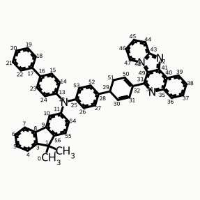 CC1(C)c2ccccc2-c2cc(N(c3ccc(-c4ccccc4)cc3)c3ccc(C4C=CC(c5nc6ccccc6c6nc7ccccn7c56)=CC4)cc3)ccc21